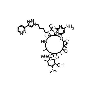 CC[C@H]1OC(=O)C(C)(F)C(=O)[C@@H](C)[C@@H](O[C@@H]2O[C@H](C)CC(N(C)C)C2O)[C@](C)(OC)C[C@@H](C)CN[C@H](C)[C@H]2N(CCCCn3cc(-c4cccnn4)nn3)C(=O)O[C@]12n1ccc(N)nc1=O